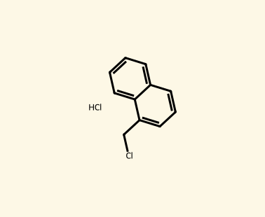 Cl.ClCc1cccc2ccccc12